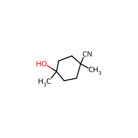 CC1(O)CCC(C)(C#N)CC1